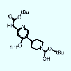 CCCOc1cc(NC(=O)OC(C)(C)C)ncc1C1CCN(C(O)OC(C)(C)C)CC1